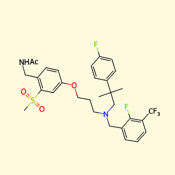 CC(=O)NCc1ccc(OCCCN(Cc2cccc(C(F)(F)F)c2F)CC(C)(C)c2ccc(F)cc2)cc1S(C)(=O)=O